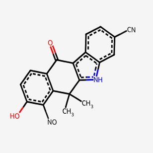 CC1(C)c2[nH]c3cc(C#N)ccc3c2C(=O)c2ccc(O)c(N=O)c21